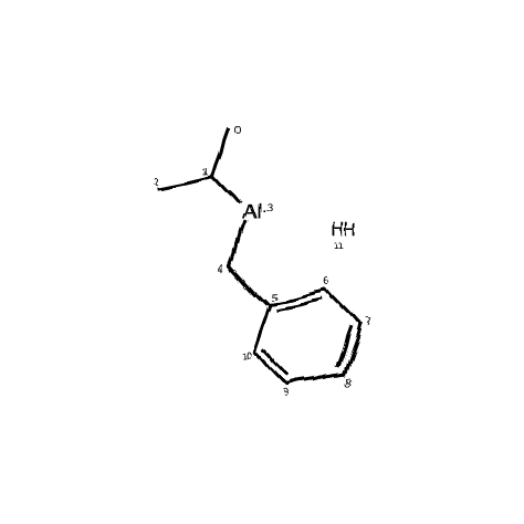 C[CH](C)[Al][CH2]c1ccccc1.[HH]